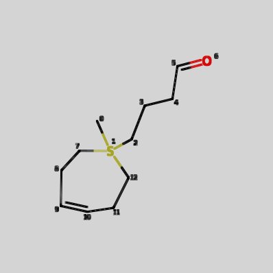 CS1(CCCC=O)CCC=CCC1